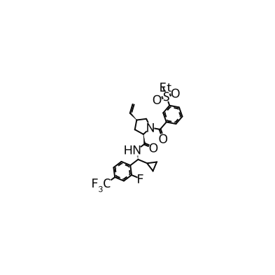 C=C[C@@H]1C[C@H](C(=O)N[C@@H](c2ccc(C(F)(F)F)cc2F)C2CC2)N(C(=O)c2cccc(S(=O)(=O)CC)c2)C1